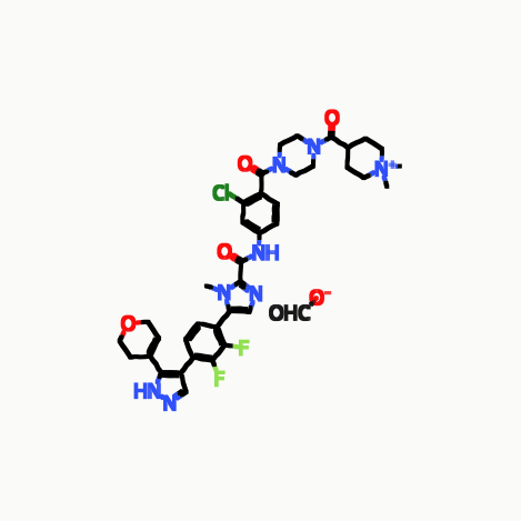 Cn1c(-c2ccc(-c3cn[nH]c3C3=CCOCC3)c(F)c2F)cnc1C(=O)Nc1ccc(C(=O)N2CCN(C(=O)C3CC[N+](C)(C)CC3)CC2)c(Cl)c1.O=C[O-]